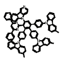 Cc1ccc2c(c1)c1ccccc1n2-c1ccc(-c2cc(-n3c4ccccc4c4cnccc43)c(-c3nc(-c4ccccc4)cc(-c4ccccc4)n3)c(-c3ccc(-n4c5ccccc5c5cc(C)ccc54)cc3)c2-c2ccc(-n3c4ccccc4c4cc(C)ccc43)cc2)cc1